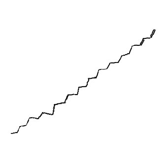 C=CC=CCCCCCCCCCCCCCCCCCCCCCCC